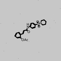 CC(=O)Oc1ccccc1C=CC(=O)Nc1ccc(S(=O)(=O)N2CCCCC2)cc1